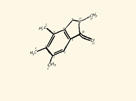 Cc1cc2c(c(C)c1C)CN(C)C2=O